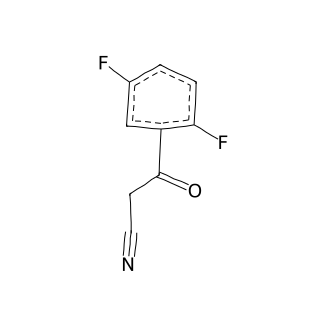 N#CCC(=O)c1cc(F)ccc1F